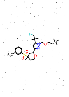 CC(C)(CF)c1cc(C2CC(C)(S(=O)(=O)c3cccc(C(F)(F)F)c3)CCO2)nn1COCC[Si](C)(C)C